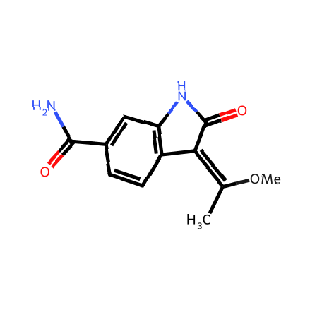 COC(C)=C1C(=O)Nc2cc(C(N)=O)ccc21